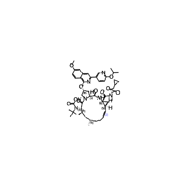 COc1ccc2c(O[C@@H]3C[C@H]4C(=O)N[C@]5(C(=O)NS(=O)(=O)C6CC6)C[C@H]5/C=C\CC[C@H](C)C[C@@H](C)[C@H](N(C(=O)O)C(C)(C)C)C(=O)N4C3)nc(-c3ccc(OC(C)C)nc3)cc2c1